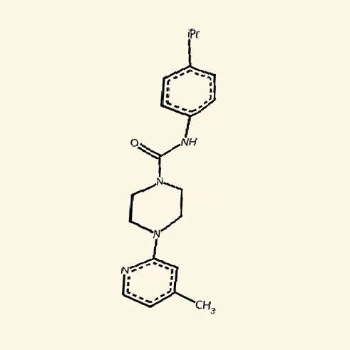 Cc1ccnc(N2CCN(C(=O)Nc3ccc(C(C)C)cc3)CC2)c1